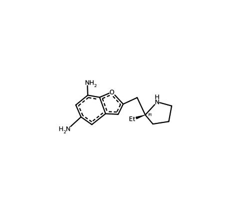 CC[C@]1(Cc2cc3cc(N)cc(N)c3o2)CCCN1